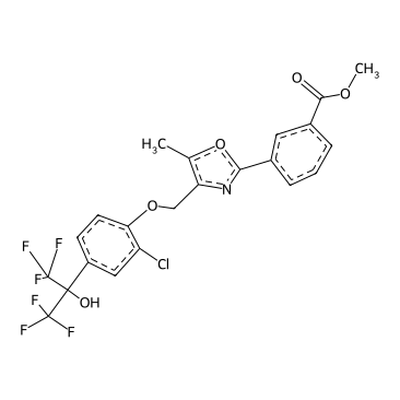 COC(=O)c1cccc(-c2nc(COc3ccc(C(O)(C(F)(F)F)C(F)(F)F)cc3Cl)c(C)o2)c1